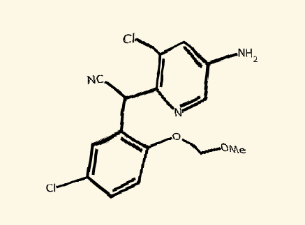 COCOc1ccc(Cl)cc1C(C#N)c1ncc(N)cc1Cl